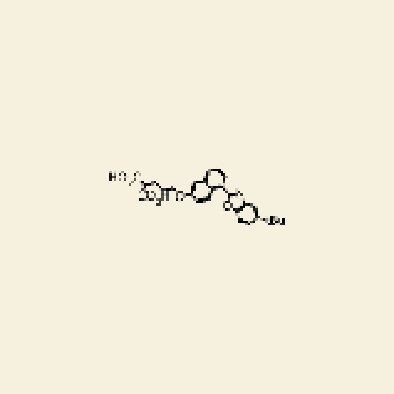 CC(C)(C)c1ccc2oc(-c3cccc4cc(OCCCC(C(=O)O)C(=O)O)ccc34)nc2c1